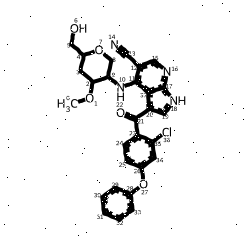 COC1CC(CO)OCC1Nc1c(C#N)cnc2[nH]cc(C(=O)c3ccc(Oc4ccccc4)cc3Cl)c12